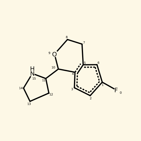 Fc1ccc2c(c1)CCOC2C1CCCN1